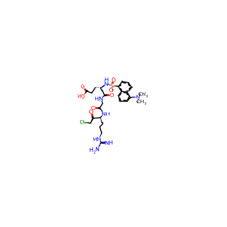 CN(C)c1cccc2c(S(=O)(=O)N[C@@H](CCC(=O)O)C(=O)NCC(=O)N[C@@H](CCCNC(=N)N)C(=O)[CH]Cl)cccc12